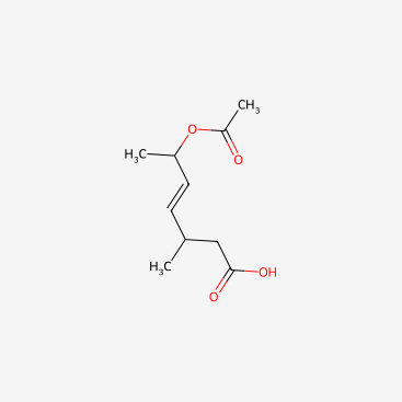 CC(=O)OC(C)C=CC(C)CC(=O)O